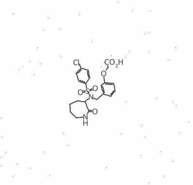 O=C(O)COc1cccc(CN(C2CCCCNC2=O)S(=O)(=O)c2ccc(Cl)cc2)c1